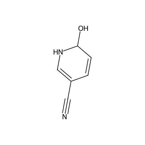 N#CC1=CNC(O)C=C1